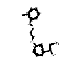 [CH2]C(C)C(CC(C)C)c1cccc(OCCNCc2ccccc2C)c1